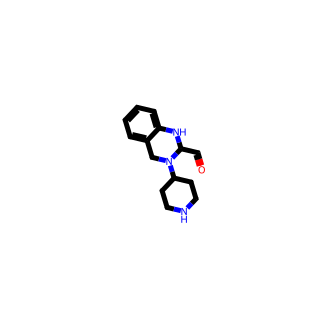 O=CC1Nc2ccccc2CN1C1CCNCC1